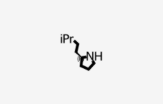 CC(C)CC[C@@H]1CCCN1